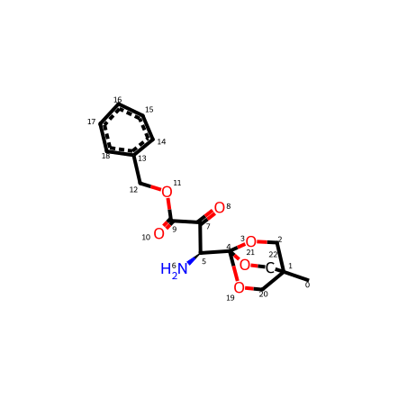 CC12COC([C@@H](N)C(=O)C(=O)OCc3ccccc3)(OC1)OC2